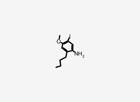 CCCCc1cc(OC)c(I)cc1N